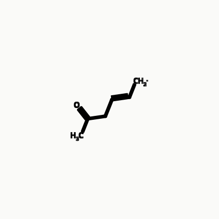 [CH2]C=CCC(C)=O